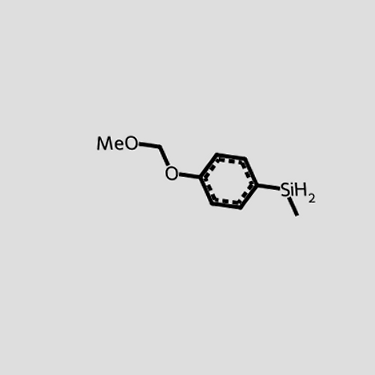 COCOc1ccc([SiH2]C)cc1